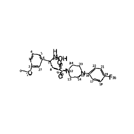 COc1cccc(C(CS(=O)(=O)N2CCN(c3ccc(F)cc3)CC2)NO)c1